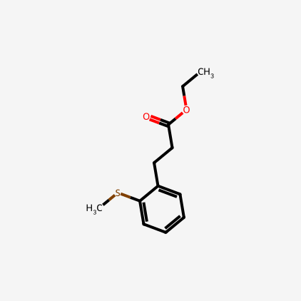 CCOC(=O)CCc1ccccc1SC